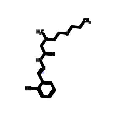 CCCOCCN(C)CC(=O)N/N=C/c1ccccc1O